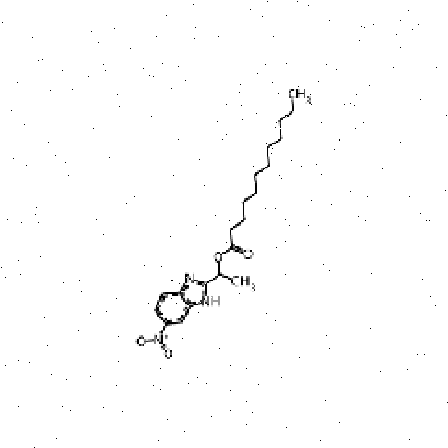 CCCCCCCCCCCC(=O)OC(C)c1nc2ccc([N+](=O)[O-])cc2[nH]1